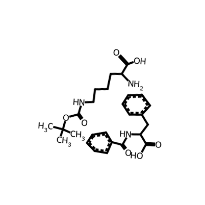 CC(C)(C)OC(=O)NCCCCC(N)C(=O)O.O=C(NC(Cc1ccccc1)C(=O)O)c1ccccc1